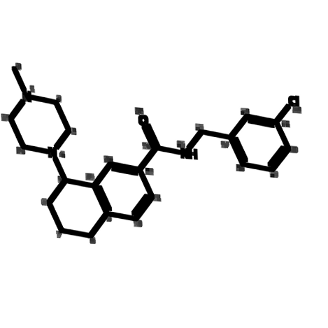 CN1CCN(C2CCCc3ccc(C(=O)NCc4cccc(Cl)c4)cc32)CC1